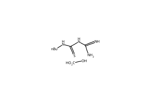 CCCCNC(=S)NC(=N)N.O=C(O)O